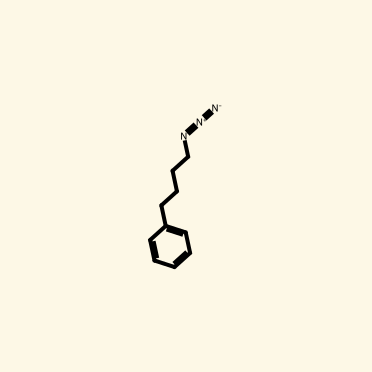 [N-]=[N+]=NCCCCc1ccccc1